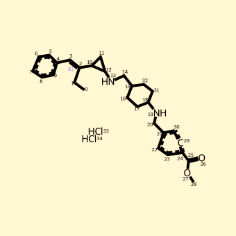 CC/C(=C\c1ccccc1)C1CC1NCC1CCC(NCc2ccc(C(=O)OC)cc2)CC1.Cl.Cl